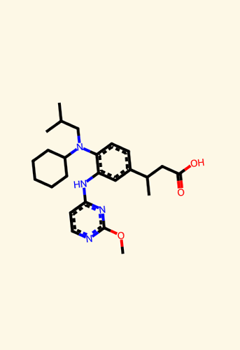 COc1nccc(Nc2cc(C(C)CC(=O)O)ccc2N(CC(C)C)C2CCCCC2)n1